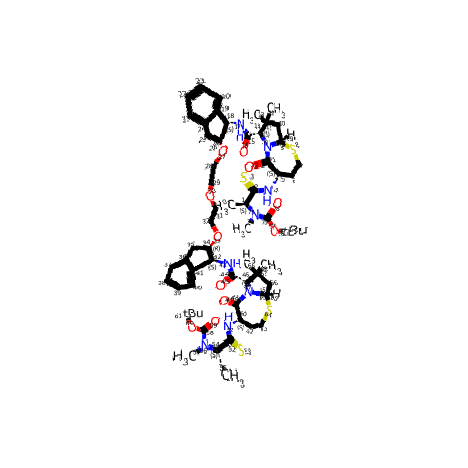 C[C@@H](C(=S)N[C@H]1CCS[C@H]2CC(C)(C)[C@@H](C(=O)N[C@H]3c4ccccc4C[C@H]3OCCOCCO[C@@H]3Cc4ccccc4[C@@H]3NC(=O)[C@H]3N4C(=O)[C@@H](NC(=S)[C@H](C)N(C)C(=O)OC(C)(C)C)CCS[C@H]4CC3(C)C)N2C1=O)N(C)C(=O)OC(C)(C)C